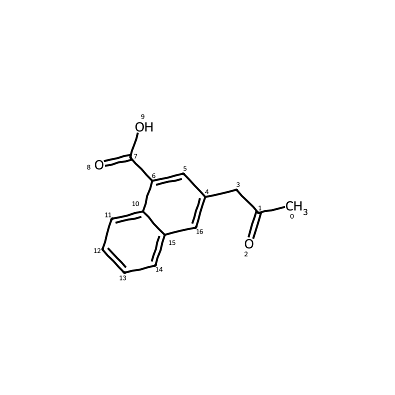 CC(=O)Cc1cc(C(=O)O)c2ccccc2c1